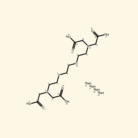 O=C(O)CN(CCOCCOCCN(CC(=O)O)CC(=O)O)CC(=O)O.[NaH].[NaH].[NaH].[NaH]